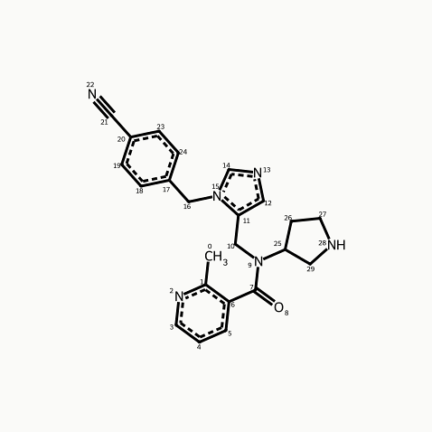 Cc1ncccc1C(=O)N(Cc1cncn1Cc1ccc(C#N)cc1)C1CCNC1